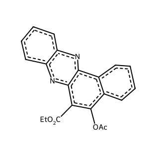 CCOC(=O)c1c(OC(C)=O)c2ccccc2c2nc3ccccc3nc12